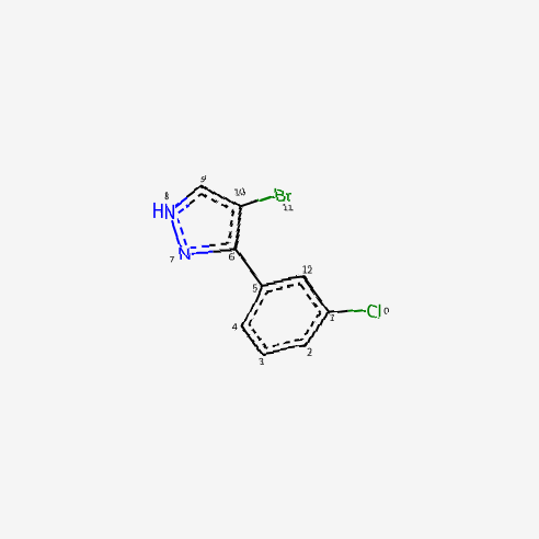 Clc1cccc(-c2n[nH]cc2Br)c1